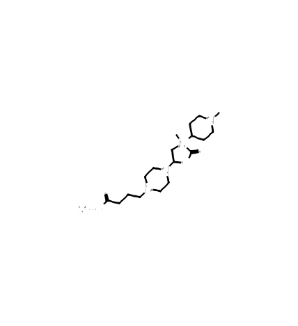 COC(=O)CCCN1CCN(C2C[N+](C)(C3CCN(C)CC3)C(=O)O2)CC1